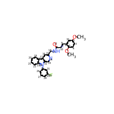 COc1ccc(OC)c(/C=C/C(=O)NCc2cc3c4ccccc4n(-c4cccc(F)c4)c3cn2)c1